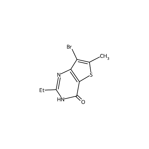 CCc1nc2c(Br)c(C)sc2c(=O)[nH]1